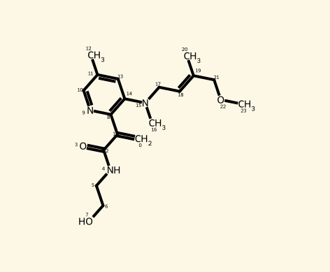 C=C(C(=O)NCCO)c1ncc(C)cc1N(C)C/C=C(\C)COC